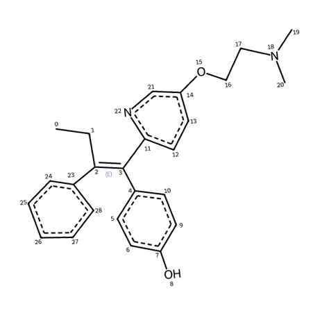 CC/C(=C(/c1ccc(O)cc1)c1ccc(OCCN(C)C)cn1)c1ccccc1